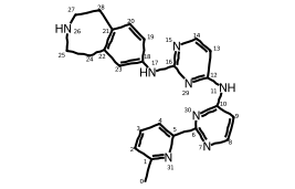 Cc1cccc(-c2nccc(Nc3ccnc(Nc4ccc5c(c4)CCNCC5)n3)n2)n1